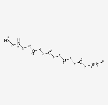 CC#CCOCCOCCOCCOCCNCS